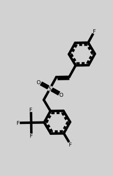 O=S(=O)(C=Cc1ccc(F)cc1)Cc1ccc(F)cc1C(F)(F)F